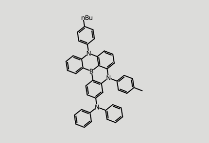 CCCCc1ccc(N2c3ccccc3B3c4ccc(N(c5ccccc5)c5ccccc5)cc4N(c4ccc(C)cc4)c4cccc2c43)cc1